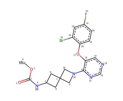 CC(C)(C)OC(=O)NC1CC2(C1)CN(c1ncncc1Oc1ccc(F)cc1Br)C2